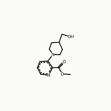 COC(=O)c1ncccc1N1CCC(CO)CC1